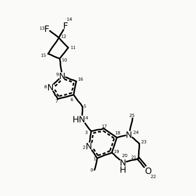 Cc1nc(NCc2cnn(C3CC(F)(F)C3)c2)cc2c1NC(=O)CN2C